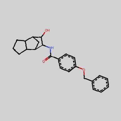 O=C(NC1C(O)C2CC1C1CCCC21)c1ccc(OCc2ccccc2)cc1